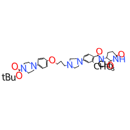 CN(C(=O)c1ccc(N2CCN(CCCOc3ccc(N4CCN(C(=O)OC(C)(C)C)CC4)cc3)CC2)cc1C=O)C1CCC(=O)NC1=O